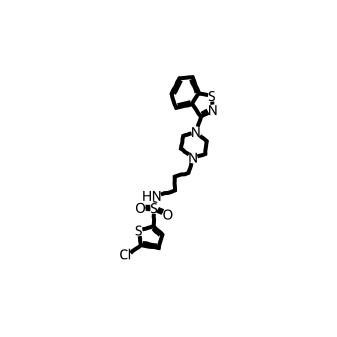 O=S(=O)(NCCCN1CCN(c2nsc3ccccc23)CC1)c1ccc(Cl)s1